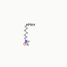 CCCCCCCCCCCCCN1CCO1